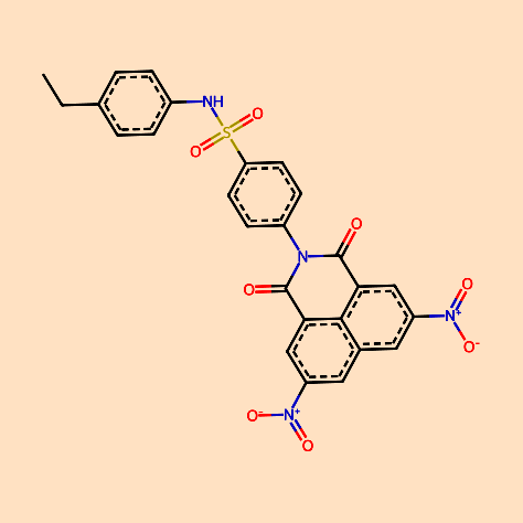 CCc1ccc(NS(=O)(=O)c2ccc(N3C(=O)c4cc([N+](=O)[O-])cc5cc([N+](=O)[O-])cc(c45)C3=O)cc2)cc1